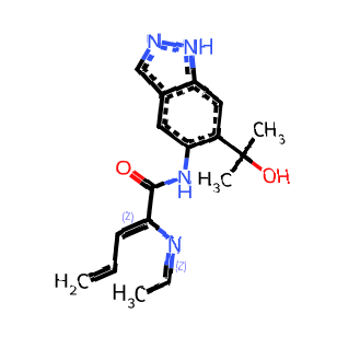 C=C/C=C(\N=C/C)C(=O)Nc1cc2cn[nH]c2cc1C(C)(C)O